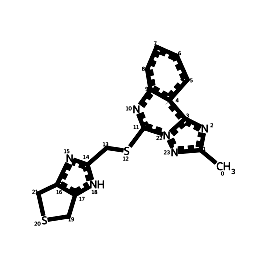 Cc1nc2c3ccccc3nc(SCc3nc4c([nH]3)CSC4)n2n1